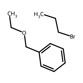 CCCBr.CCOCc1ccccc1